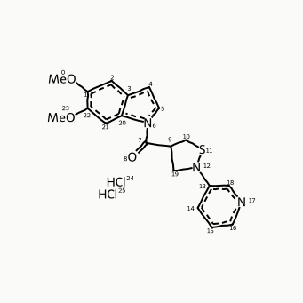 COc1cc2ccn(C(=O)C3CSN(c4cccnc4)C3)c2cc1OC.Cl.Cl